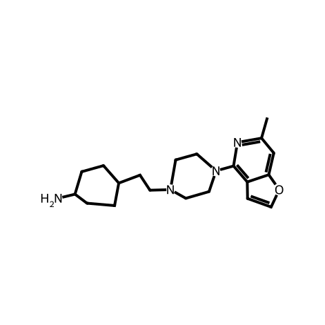 Cc1cc2occc2c(N2CCN(CCC3CCC(N)CC3)CC2)n1